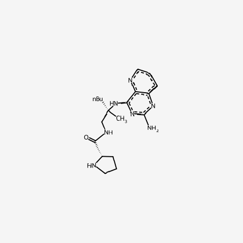 CCCC[C@](C)(CNC(=O)[C@@H]1CCCN1)Nc1nc(N)nc2cccnc12